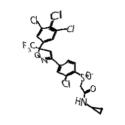 O=C(C[S+]([O-])c1ccc(C2=NO[C@@](c3cc(Cl)c(Cl)c(Cl)c3)(C(F)(F)F)C2)cc1Cl)NC1CC1